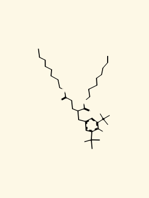 CCCCCCCCOC(=O)CCC(Cc1cc(C(C)(C)C)c(O)c(C(C)(C)C)c1)C(=O)OCCCCCCCC